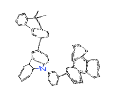 CC1(C)c2ccccc2-c2cc(-c3ccc4c(c3)C3C=CC=CC3N4c3cccc(-c4ccc5c6ccccc6c6ccccc6c5c4)c3)ccc21